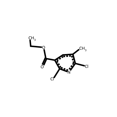 CCOC(=O)c1cc(C)c(Cl)nc1Cl